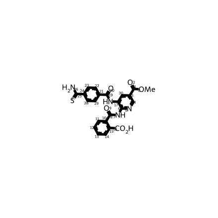 COC(=O)c1cnc(NC(=O)c2ccccc2C(=O)O)c(NC(=O)c2ccc(C(N)=S)cc2)c1